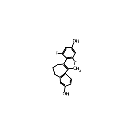 CC1=C(c2c(F)cc(O)cc2F)CCCc2cc(O)ccc21